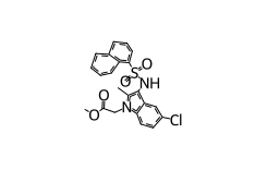 COC(=O)Cn1c(C)c(NS(=O)(=O)c2cccc3ccccc23)c2cc(Cl)ccc21